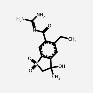 CCc1cc2c(cc1C(=O)N=C(N)N)S(=O)(=O)CC2(C)O